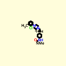 [2H]C([2H])(CN1CCN(c2cccc(C)c2Cl)CC1)[C@H]1CC[C@H](NC(=O)NC)CC1